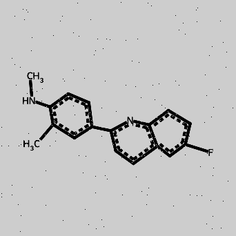 CNc1ccc(-c2ccc3cc(F)ccc3n2)cc1C